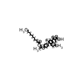 CCCCCCCCCCCC(=O)OCC(C)OC1CCN(c2c(F)cc3c4c2CCC(C)N4CC(C(=O)O)C3=O)CC1